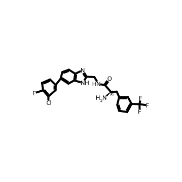 N[C@H](Cc1cccc(C(F)(F)F)c1)C(=O)NCc1nc2ccc(-c3ccc(F)c(Cl)c3)cc2[nH]1